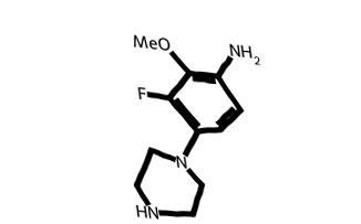 COc1c(N)ccc(N2CCNCC2)c1F